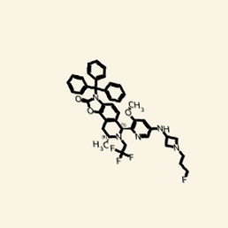 COc1cc(NC2CN(CCCF)C2)cnc1[C@@H]1c2ccc3c(oc(=O)n3C(c3ccccc3)(c3ccccc3)c3ccccc3)c2C[C@@H](C)N1CC(F)(F)F